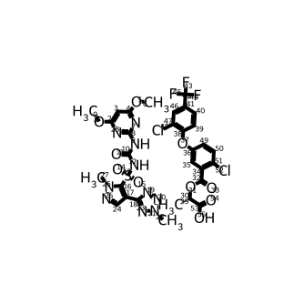 COc1cc(OC)nc(NC(=O)NS(=O)(=O)c2c(-c3nnn(C)n3)cnn2C)n1.C[C@H](OC(=O)c1cc(Oc2ccc(C(F)(F)F)cc2Cl)ccc1Cl)C(=O)O